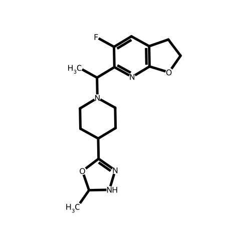 CC1NN=C(C2CCN(C(C)c3nc4c(cc3F)CCO4)CC2)O1